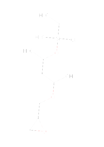 CC[Si](C)(C)OC(C)CC(C)OCC1CO1